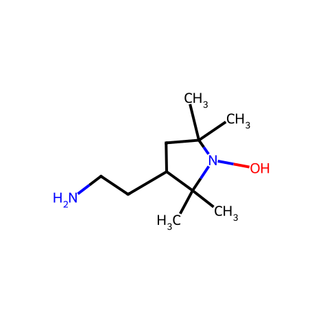 CC1(C)CC(CCN)C(C)(C)N1O